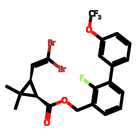 CC1(C)[C@H](C(=O)OCc2cccc(-c3cccc(OC(F)(F)F)c3)c2F)[C@@H]1C=C(Br)Br